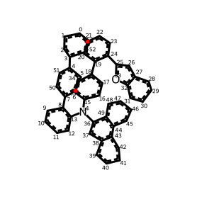 c1ccc(-c2ccc(-c3ccccc3N(c3ccc(-c4ccccc4-c4cc5ccccc5o4)cc3)c3cc4ccccc4c4ccccc34)cc2)cc1